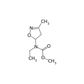 CCN(C(=O)OC)C1CC(C)=NO1